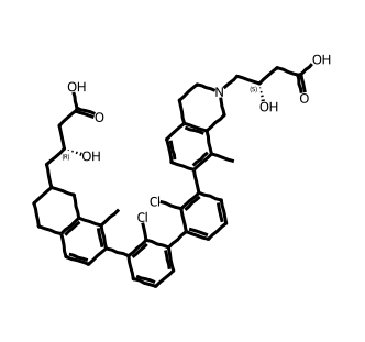 Cc1c(-c2cccc(-c3cccc(-c4ccc5c(c4C)CN(C[C@@H](O)CC(=O)O)CC5)c3Cl)c2Cl)ccc2c1CC(C[C@@H](O)CC(=O)O)CC2